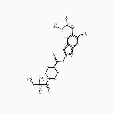 Cc1cc2nn(CC(=O)N3CCN(C(=O)C(C)(C)CO)CC3)cc2cc1NC(=O)OC(C)(C)C